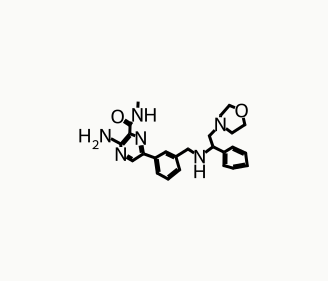 CNC(=O)c1nc(-c2cccc(CNC(CN3CCOCC3)c3ccccc3)c2)cnc1N